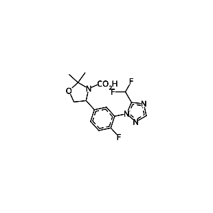 CC1(C)OCC(c2ccc(F)c(-n3ncnc3C(F)F)c2)N1C(=O)O